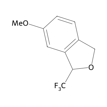 COc1ccc2c(c1)C(C(F)(F)F)OC2